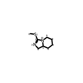 CSC1=NCC2CCCCN12